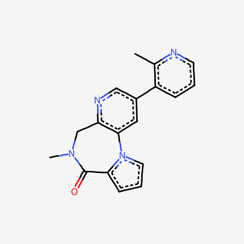 Cc1ncccc1-c1cnc2c(c1)-n1cccc1C(=O)N(C)C2